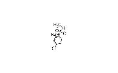 CNS(=O)(=O)c1ccc(Cl)cc1.[NaH]